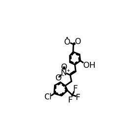 COC(=O)c1ccc(C=C(Cc2ccc(Cl)cc2C(F)(F)F)[N+](=O)[O-])c(O)c1